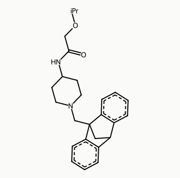 CC(C)OCC(=O)NC1CCN(CC23CC(c4ccccc42)c2ccccc23)CC1